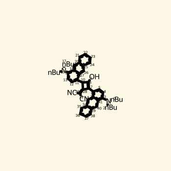 CCCCN(CCCC)c1ccc(C2=C(O)C(c3ccc(N(CCCC)CCCC)c4cc5ccccc5cc34)C2=C(C#N)C#N)c2cc3ccccc3cc12